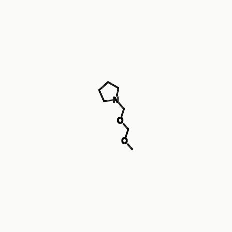 COCOCN1CCCC1